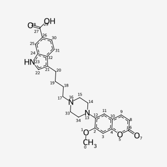 COc1cc2oc(=O)ccc2cc1N1CCN(CCCCc2c[nH]c3cc(C(=O)O)ccc23)CC1